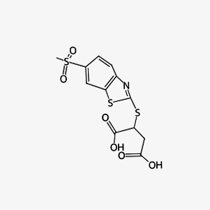 CS(=O)(=O)c1ccc2nc(SC(CC(=O)O)C(=O)O)sc2c1